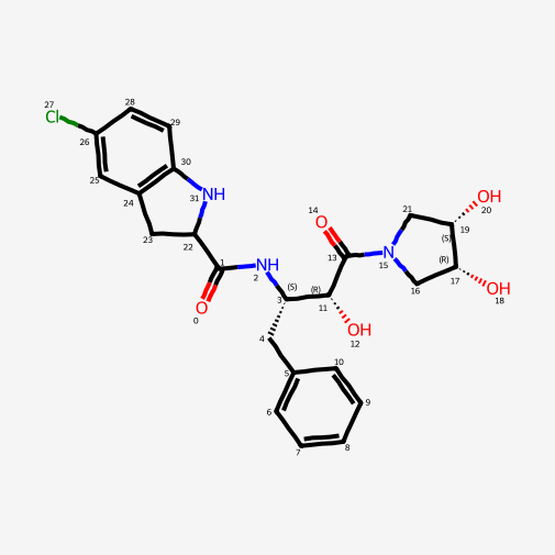 O=C(N[C@@H](Cc1ccccc1)[C@@H](O)C(=O)N1C[C@@H](O)[C@@H](O)C1)C1Cc2cc(Cl)ccc2N1